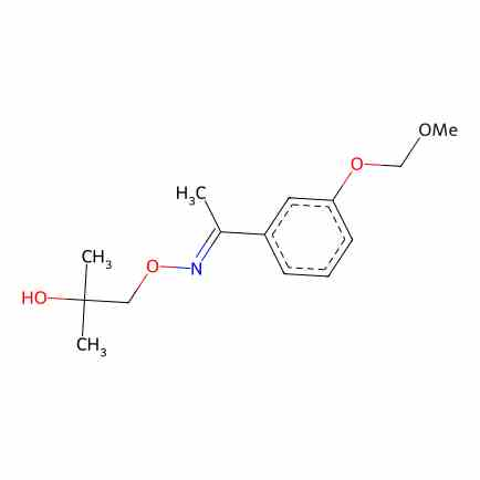 COCOc1cccc(C(C)=NOCC(C)(C)O)c1